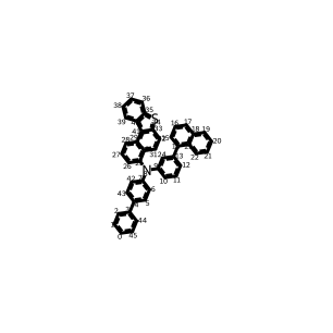 c1ccc(-c2ccc(N(c3cccc(-c4cccc5ccccc45)c3)c3cccc4c3ccc3sc5ccccc5c34)cc2)cc1